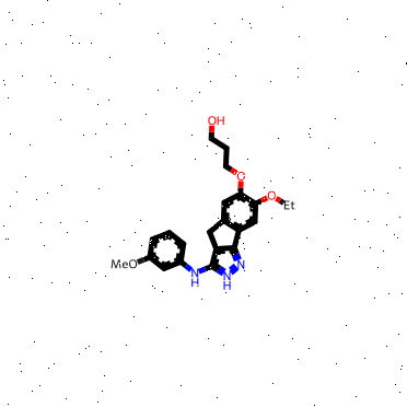 CCOc1cc2c(cc1OCCCO)Cc1c-2n[nH]c1Nc1cccc(OC)c1